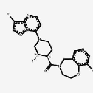 N#Cc1cncc2c1OCCN(C(=O)[C@@H]1CCN(c3ccnc4c(F)cnn34)C[C@H]1F)C2